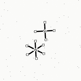 [Cl][Sn]([Cl])([Cl])[Cl].[Cl][W]([Cl])([Cl])([Cl])([Cl])[Cl]